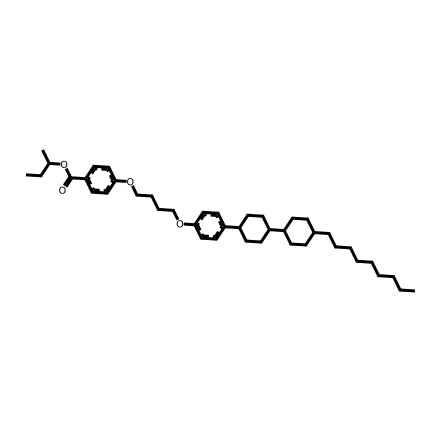 CCCCCCCCCC1CCC(C2CCC(c3ccc(OCCCCOc4ccc(C(=O)OC(C)CC)cc4)cc3)CC2)CC1